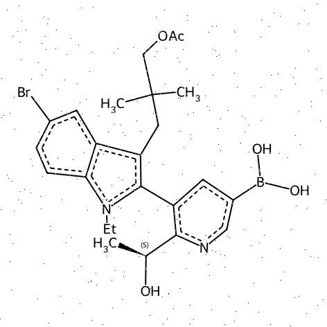 CCn1c(-c2cc(B(O)O)cnc2[C@H](C)O)c(CC(C)(C)COC(C)=O)c2cc(Br)ccc21